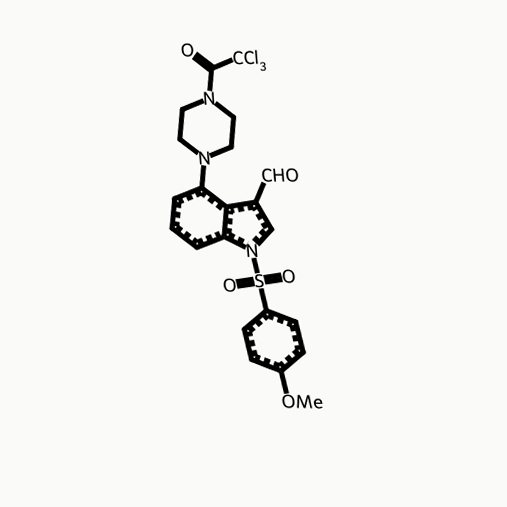 COc1ccc(S(=O)(=O)n2cc(C=O)c3c(N4CCN(C(=O)C(Cl)(Cl)Cl)CC4)cccc32)cc1